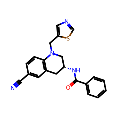 N#Cc1ccc2c(c1)C[C@@H](NC(=O)c1ccccc1)CN2Cc1cncs1